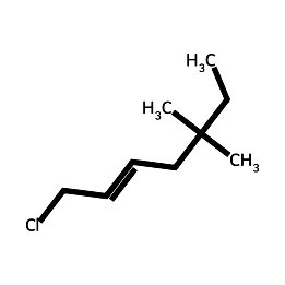 CCC(C)(C)CC=CCCl